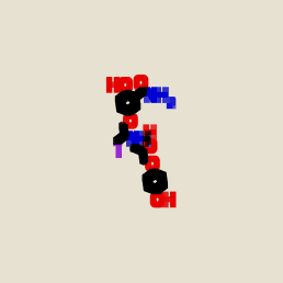 NC(=O)c1cc(OCC(CI)NCC(O)COc2ccc(O)cc2)ccc1O